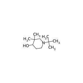 CC1(C)CN(C(C)(C)C)CCC1O